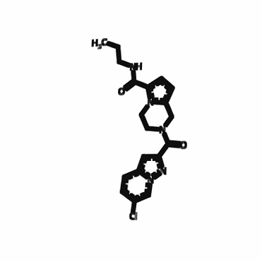 CCCNC(=O)c1ccc2n1CCN(C(=O)c1cc3ccc(Cl)cn3n1)C2